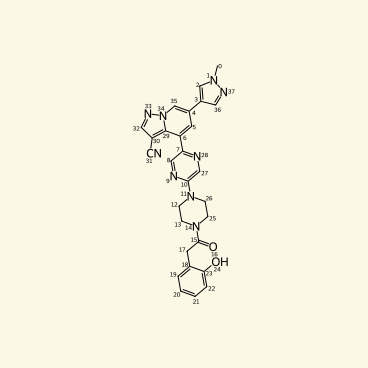 Cn1cc(-c2cc(-c3cnc(N4CCN(C(=O)Cc5ccccc5O)CC4)cn3)c3c(C#N)cnn3c2)cn1